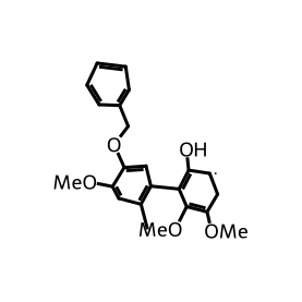 COC1=C(OC)C(c2cc(OCc3ccccc3)c(OC)cc2C)=C(O)[CH]C1